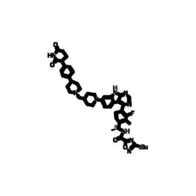 Cc1c([C@@H](C)NC(=O)c2nc(C(C)(C)C)no2)ccc(-c2ncnc3[nH]c4cc(N5CCC(CN6CCC(c7ccc(C8CCC(=O)NC8=O)cc7)CC6)CC5)ccc4c23)c1F